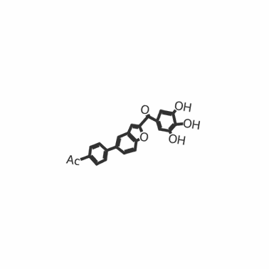 CC(=O)c1ccc(-c2ccc3oc(C(=O)c4cc(O)c(O)c(O)c4)cc3c2)cc1